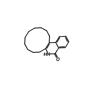 O=c1[nH]c2c(c3ccccc13)CCCCCCCCCC2